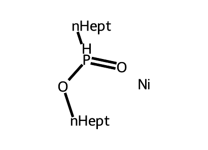 CCCCCCCO[PH](=O)CCCCCCC.[Ni]